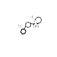 N#C[C@]1(c2ccccc2)CC[C@](O)(c2nnc3n2CCCCC3)CC1